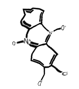 [O-][n+]1c2ccccc2[n+]([O-])c2cc(Cl)c(Cl)cc21